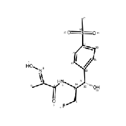 CC(=NO)C(=O)N[C@H](CF)[C@@H](O)c1ccc(S(C)(=O)=O)cc1